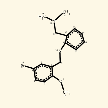 COc1ccc(Br)cc1CSc1ccccc1CN(C)C